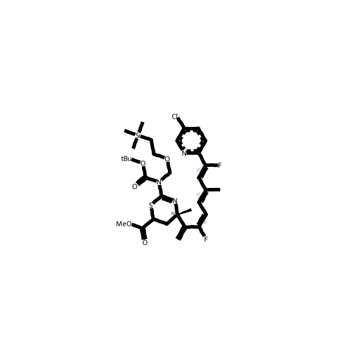 C=C(\C(F)=C/C=C(C)/C=C(\F)c1ccc(Cl)cn1)[C@]1(C)CC(C(=O)OC)SC(N(COCC[Si](C)(C)C)C(=O)OC(C)(C)C)=N1